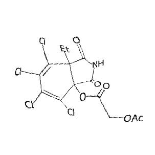 CCC12C(=O)NC(=O)C1(OC(=O)COC(C)=O)C(Cl)=C(Cl)C(Cl)=C2Cl